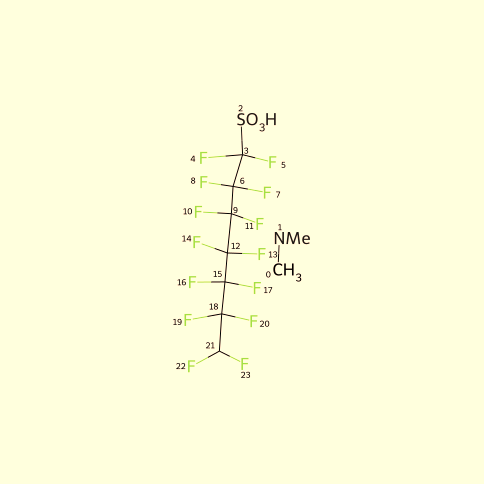 CNC.O=S(=O)(O)C(F)(F)C(F)(F)C(F)(F)C(F)(F)C(F)(F)C(F)(F)C(F)F